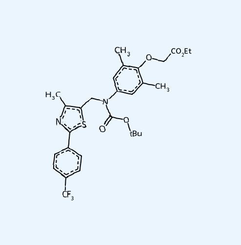 CCOC(=O)COc1c(C)cc(N(Cc2sc(-c3ccc(C(F)(F)F)cc3)nc2C)C(=O)OC(C)(C)C)cc1C